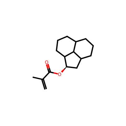 C=C(C)C(=O)O[C@@H]1CC2CCCC3CCCC1C32